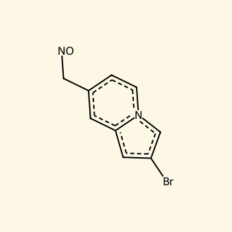 O=NCc1ccn2cc(Br)cc2c1